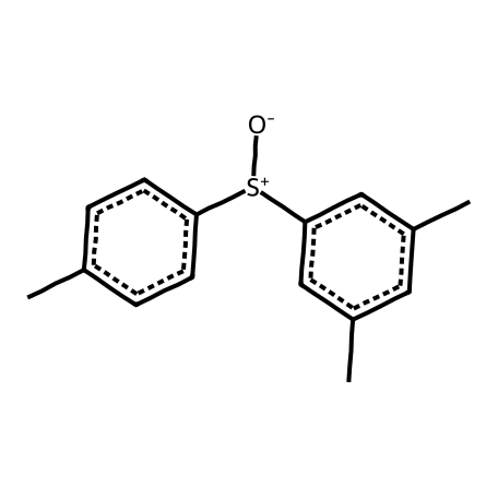 Cc1ccc([S+]([O-])c2cc(C)cc(C)c2)cc1